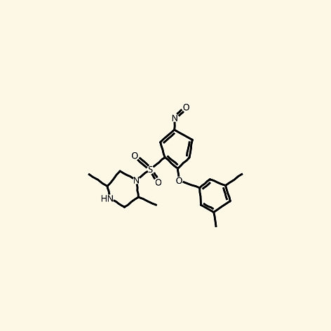 Cc1cc(C)cc(Oc2ccc(N=O)cc2S(=O)(=O)N2CC(C)NCC2C)c1